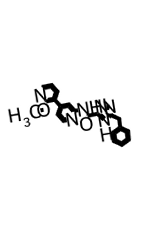 COc1ncccc1-c1ccnc(NC(=O)c2nnc(Cc3ccccc3)[nH]2)c1